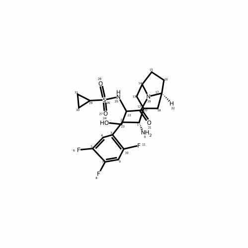 N[C@H](Cc1cc(F)c(F)cc1F)C1CC2CC[C@@H](C1)N2C(=O)C(CO)NS(=O)(=O)C1CC1